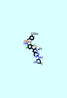 COc1cccc(CS(=O)(=O)Nc2c(F)cc(-c3cc4cnc(N[C@@H]5CNC[C@@H](F)C5)nc4n(C(C)C)c3=O)c(F)c2F)c1